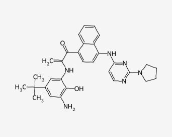 C=C(Nc1cc(C(C)(C)C)cc(N)c1O)C(=O)c1ccc(Nc2ccnc(N3CCCC3)n2)c2ccccc12